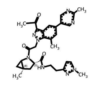 CC(=O)c1nn(CC(=O)N2C3C[C@]3(C)C[C@H]2C(=O)NCCc2ccn(C)n2)c2c(C)cc(-c3cnc(C)nc3)cc12